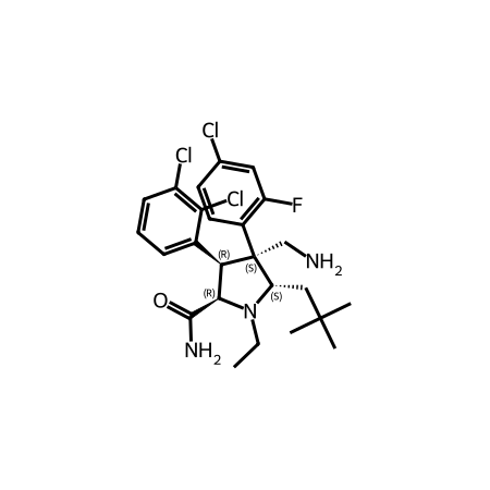 CCN1[C@@H](CC(C)(C)C)[C@](CN)(c2ccc(Cl)cc2F)[C@H](c2cccc(Cl)c2Cl)[C@@H]1C(N)=O